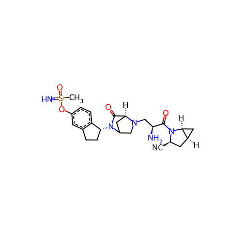 CS(=N)(=O)Oc1ccc2c(c1)CC[C@H]2N1C(=O)[C@@H]2CC1CN2C[C@H](N)C(=O)N1[C@H](C#N)C[C@@H]2C[C@@H]21